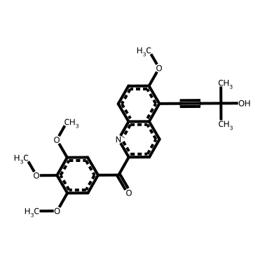 COc1cc(C(=O)c2ccc3c(C#CC(C)(C)O)c(OC)ccc3n2)cc(OC)c1OC